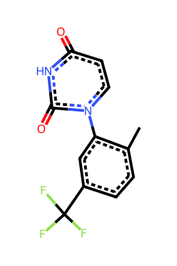 Cc1ccc(C(F)(F)F)cc1-n1ccc(=O)[nH]c1=O